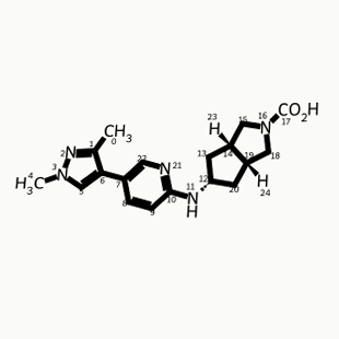 Cc1nn(C)cc1-c1ccc(N[C@@H]2C[C@@H]3CN(C(=O)O)C[C@@H]3C2)nc1